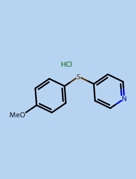 COc1ccc(Sc2ccncc2)cc1.Cl